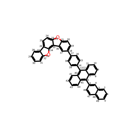 c1ccc2cc(-c3c4ccccc4c(-c4ccc(-c5ccc6oc7ccc8c9ccccc9oc8c7c6c5)cc4)c4ccccc34)ccc2c1